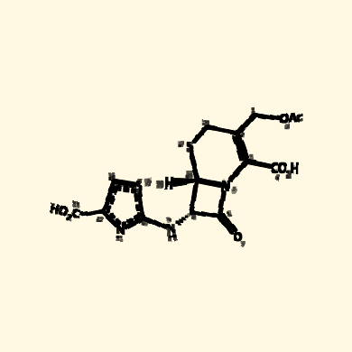 CC(=O)OCC1=C(C(=O)O)N2C(=O)[C@H](Nc3nc(C(=O)O)cs3)[C@@H]2SC1